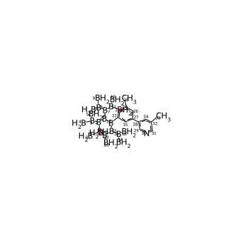 BBB(B(B)B)B(B(B(B)B)B(B)B)B(B(B(B)B)B(B)B)c1cc(C)cc(-c2cncc(C)c2)c1